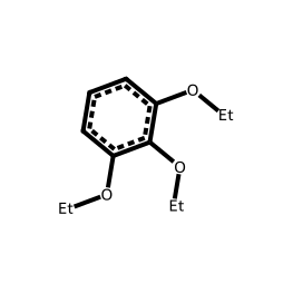 CCOc1cccc(OCC)c1OCC